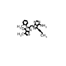 CCC#Cc1nn(Cc2nc3scc(C)c3c(=O)n2-c2ccccc2C)c2ncnc(N)c12